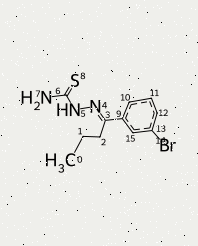 CCC/C(=N\NC(N)=S)c1cccc(Br)c1